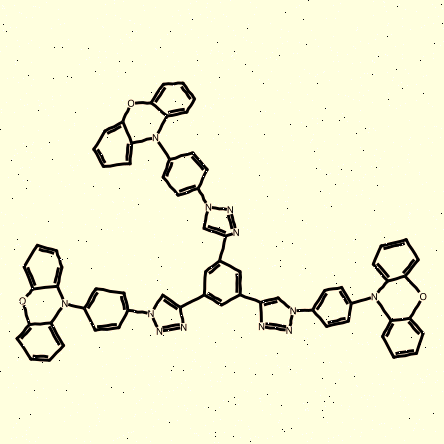 c1ccc2c(c1)Oc1ccccc1N2c1ccc(-n2cc(-c3cc(-c4cn(-c5ccc(N6c7ccccc7Oc7ccccc76)cc5)nn4)cc(-c4cn(-c5ccc(N6c7ccccc7Oc7ccccc76)cc5)nn4)c3)nn2)cc1